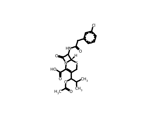 CC(=O)OC(C1=C(C(=O)O)N2C(=O)C(NC(=O)Cc3cccc(Cl)c3)[C@@H]2SC1)C(C)C